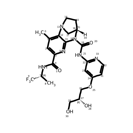 Cc1cc(C(=O)N[C@H](C)C(F)(F)F)nc2c1N1CC[C@@H](C1)N2C(=O)Nc1cc(OC[C@H](O)CO)ccn1